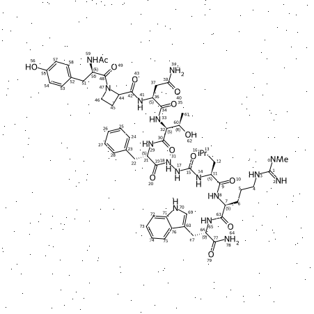 CNC(=N)NCCC[C@H](NC(=O)[C@H](CC(C)C)NC(=O)NNC(=O)[C@H](Cc1ccccc1)NC(=O)[C@@H](NC(=O)[C@H](CC(N)=O)NC(=O)C1CCN1C(=O)[C@@H](Cc1ccc(O)cc1)NC(C)=O)[C@@H](C)O)C(=O)N[C@@H](Cc1c[nH]c2ccccc12)C(N)=O